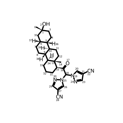 C[C@@]1(O)CC[C@H]2[C@H](CC[C@@H]3[C@@H]2CC[C@]2(C)[C@@H](C(=O)C(n4cc(C#N)cn4)n4cc(C#N)cn4)CCC[C@@H]32)C1